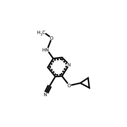 CONc1cnc(OC2CC2)c(C#N)c1